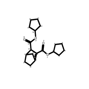 O=C(OC1CCCC1)C1=C2CCC(C2)C1C(=O)OC1CCCC1